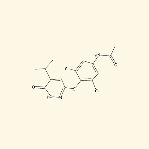 CC(=O)Nc1cc(Cl)c(Sc2cc(C(C)C)c(=O)[nH]n2)c(Cl)c1